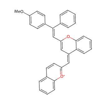 COc1ccc(C(=CC2=CC(=Cc3ccc4ccccc4[o+]3)c3ccccc3O2)c2ccccc2)cc1